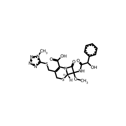 COC1(NC(=O)C(O)c2ccccc2)C(=O)N2C(C(=O)O)=C(CSc3nnnn3C)CS[C@H]21